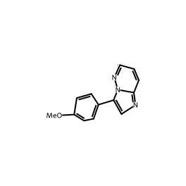 COc1ccc(-c2cnc3cc[c]nn23)cc1